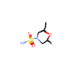 CC1CN(S(N)(=O)=O)CC(C)O1